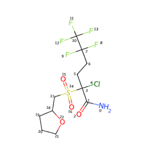 NC(=O)C(Cl)(CCC(F)(F)C(F)(F)F)S(=O)(=O)CC1CCCO1